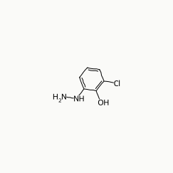 NNc1cccc(Cl)c1O